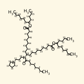 CCCCCCCC(=O)N(CCCN1CCCC1)C(CCCCCCCCC(=O)OC(CCCC)CCCCCC)CCCCCCCCC(=O)OC(CCCC)CCCCCC